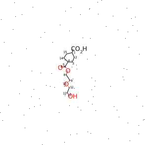 O=C(O)C1CCC(C(=O)OCCOCCO)CC1